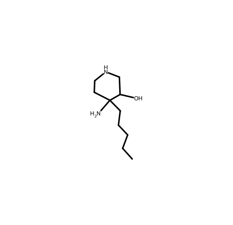 CCCCCC1(N)CCNCC1O